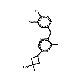 Cc1nc(N2CC(C)(N)C2)cnc1Cc1ccc(Cl)c(Cl)c1